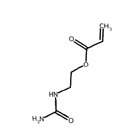 C=CC(=O)OCCNC(N)=O